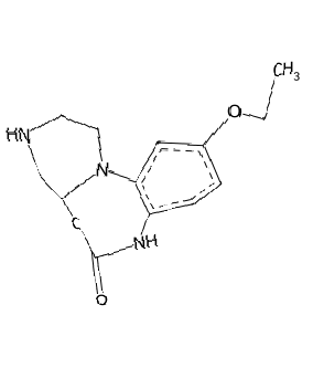 CCOc1ccc2c(c1)N1CCNCC1CC(=O)N2